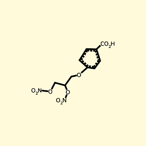 O=C(O)c1ccc(OCC(CO[N+](=O)[O-])O[N+](=O)[O-])cc1